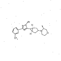 CC(C)n1nc(-c2cccc(C(F)(F)F)c2)nc1C1[C@H]2CC(N3CCOC[C@@H]3C)C[C@@H]12